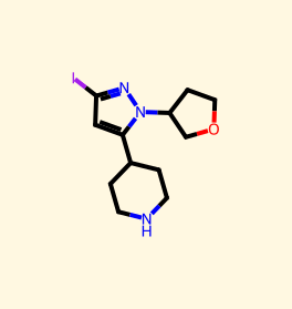 Ic1cc(C2CCNCC2)n(C2CCOC2)n1